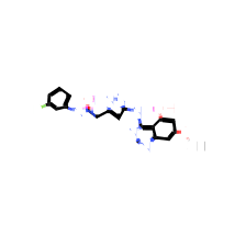 COc1cc(O)c2c(Nc3cc(CC(=O)Nc4cccc(F)c4)[nH]n3)ncnc2c1